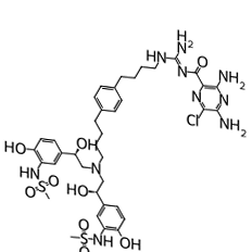 CS(=O)(=O)Nc1cc([C@@H](O)CN(CCCCc2ccc(CCCCNC(N)=NC(=O)c3nc(Cl)c(N)nc3N)cc2)C[C@H](O)c2ccc(O)c(NS(C)(=O)=O)c2)ccc1O